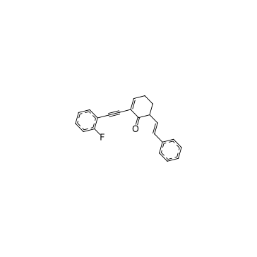 O=C1C(C#Cc2ccccc2F)=CCCC1/C=C/c1ccccc1